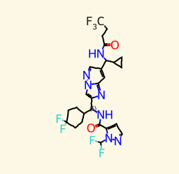 O=C(CCC(F)(F)F)NC(c1cnn2cc([C@@H](NC(=O)c3ccnn3C(F)F)C3CCC(F)(F)CC3)nc2c1)C1CC1